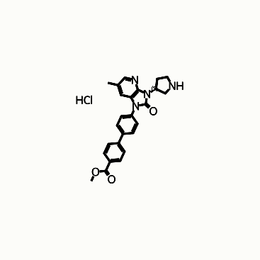 COC(=O)c1ccc(-c2ccc(-n3c(=O)n([C@H]4CCNC4)c4ncc(C)cc43)cc2)cc1.Cl